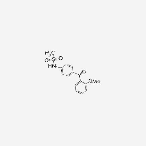 COc1ccccc1C(=O)c1ccc(NS(C)(=O)=O)cc1